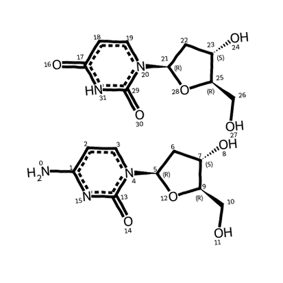 Nc1ccn([C@H]2C[C@H](O)[C@@H](CO)O2)c(=O)n1.O=c1ccn([C@H]2C[C@H](O)[C@@H](CO)O2)c(=O)[nH]1